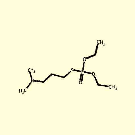 CCOP(=O)(OCC)SCCCN(C)C